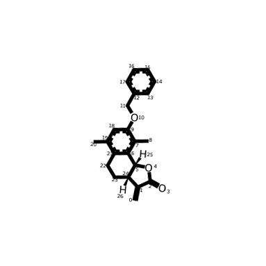 C=C1C(=O)O[C@H]2c3c(C)c(OCc4ccccc4)cc(C)c3CC[C@@H]12